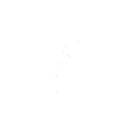 CC(C)C(N)CN(C(=O)C(Cl)Cl)c1cccc(-c2cc(-c3c(Cl)cccc3Cl)no2)c1